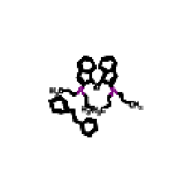 CCCP(CCC)C1=Cc2ccccc2[CH]1[Zr][CH]1C(P(CCC)CCC)=Cc2ccccc21.c1ccc(CCc2ccccc2)cc1